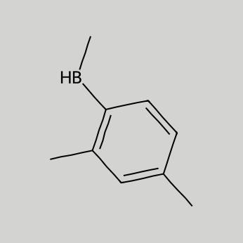 CBc1ccc(C)cc1C